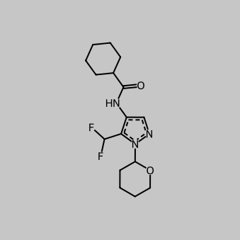 O=C(Nc1cnn(C2CCCCO2)c1C(F)F)C1CCCCC1